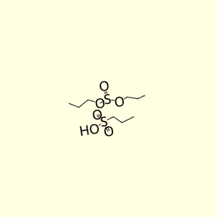 CCCOS(=O)OCCC.CCCS(=O)(=O)O